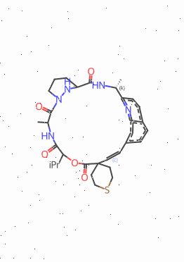 CC1NC(=O)C(C(C)C)OC(=O)C2(/C=C/c3ccc4ccc(nc4c3)[C@@H](C)NC(=O)C3CCCN(N3)C1=O)CCSCC2